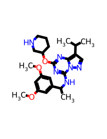 COc1cc(OC)cc(C(C)Nc2nc(OC3CCCNC3)nc3c(C(C)C)cnn23)c1